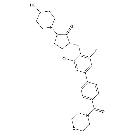 O=C(c1ccc(-c2cc(Cl)c(C[C@@H]3CCN(N4CCC(O)CC4)C3=O)c(Cl)c2)cc1)N1CCOCC1